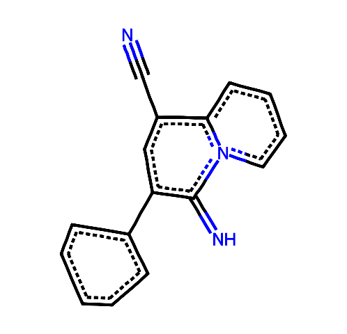 N#Cc1cc(-c2ccccc2)c(=N)n2ccccc12